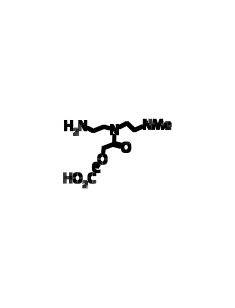 CNCCN(CCN)C(=O)COCC(=O)O